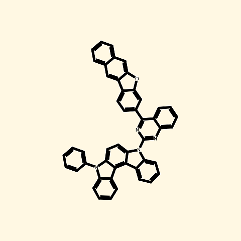 c1ccc(-n2c3ccccc3c3c4c5ccccc5n(-c5nc(-c6ccc7c(c6)oc6cc8ccccc8cc67)c6ccccc6n5)c4ccc32)cc1